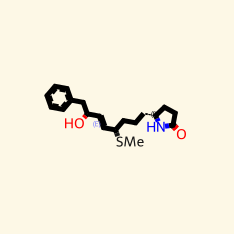 CSC(/C=C/C(O)Cc1ccccc1)CCC[C@@H]1CCC(=O)N1